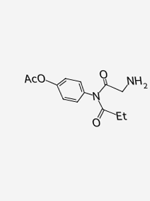 CCC(=O)N(C(=O)CN)c1ccc(OC(C)=O)cc1